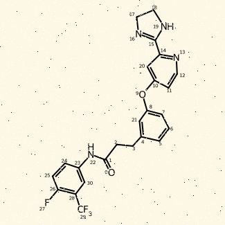 O=C(CCc1cccc(Oc2ccnc(C3=NCCN3)c2)c1)Nc1ccc(F)c(C(F)(F)F)c1